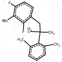 Cc1cccc(C)c1C(C)(C)Cc1ccc(F)c(C(C)(C)C)c1F